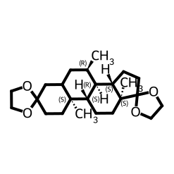 C[C@@H]1CC2CC3(CC[C@]2(C)[C@H]2CC[C@@]4(C)[C@@H](CCC45OCCO5)[C@H]12)OCCO3